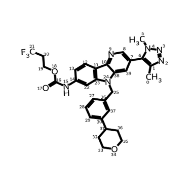 Cc1nnn(C)c1-c1cnc2c3ccc(NC(=O)OCCC(F)(F)F)cc3n(Cc3cccc(C4CCOCC4)c3)c2c1